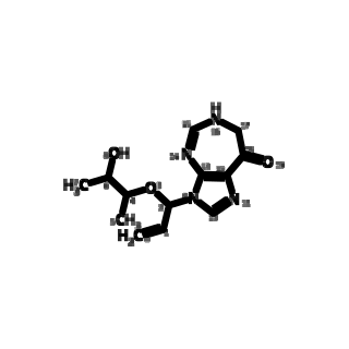 C=CC(OC(C)C(C)O)n1cnc2c1N=CNCC2=O